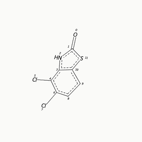 O=c1[nH]c2c(Cl)c(Cl)ccc2s1